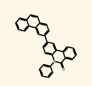 O=c1c2ccccc2c2cc(-c3ccc4ccc5ccccc5c4c3)ccc2n1-c1ccccc1